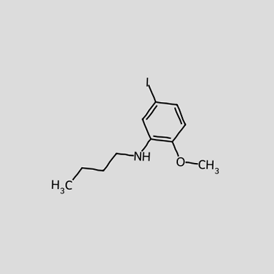 CCCCNc1cc(I)ccc1OC